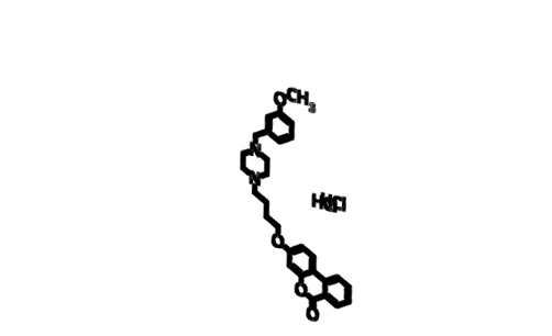 COc1cccc(CN2CCN(CCCCOc3ccc4c(c3)oc(=O)c3ccccc34)CC2)c1.Cl.Cl